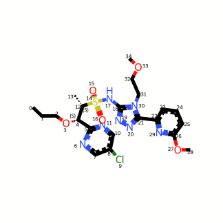 CCCO[C@@H](c1ncc(Cl)cn1)[C@H](C)S(=O)(=O)Nc1nnc(-c2cccc(OC)n2)n1CCOC